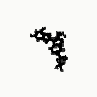 Cc1cc(C)c2nc(-c3c(N)sc4c3CCN(C(=O)OC(C)(C)C)C4)sc2c1